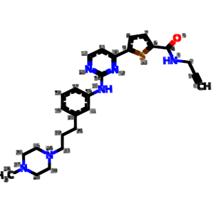 C#CCNC(=O)c1ccc(-c2ccnc(Nc3cccc(CCCN4CCN(C)CC4)c3)n2)s1